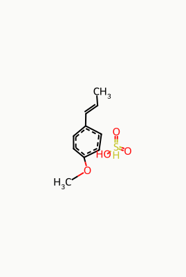 C/C=C/c1ccc(OC)cc1.O=[SH](=O)O